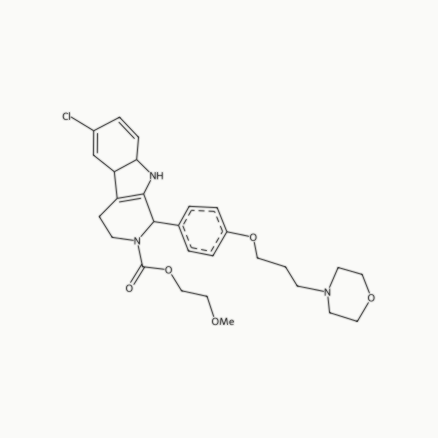 COCCOC(=O)N1CCC2=C(NC3C=CC(Cl)=CC23)C1c1ccc(OCCCN2CCOCC2)cc1